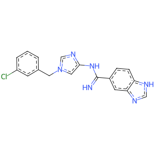 N=C(Nc1cn(Cc2cccc(Cl)c2)cn1)c1ccc2[nH]cnc2c1